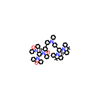 CC1(C)c2ccccc2N2c3cc(-c4ccc(N(c5ccccc5)c5cccc(-c6cc7c8c(c6)B6c9cccc%10c9N(c9ccccc9O%10)c9cc(N%10c%11ccccc%11Oc%11ccccc%11%10)cc(c96)N8c6ccccc6O7)c5)cc4)cc4c3B(c3cccc1c32)c1cccc2c1N4c1ccccc1C2(C)C